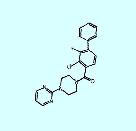 O=C(c1ccc(-c2ccccc2)c(F)c1Cl)N1CCN(c2ncccn2)CC1